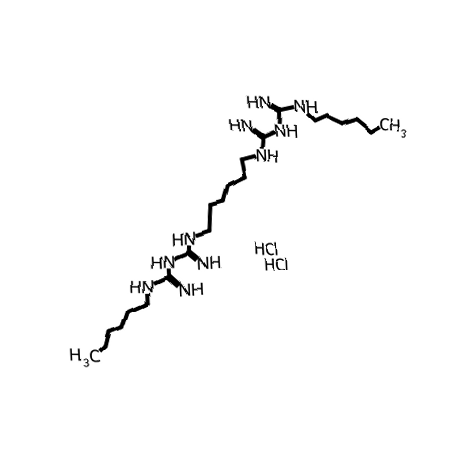 CCCCCCNC(=N)NC(=N)NCCCCCCNC(=N)NC(=N)NCCCCCC.Cl.Cl